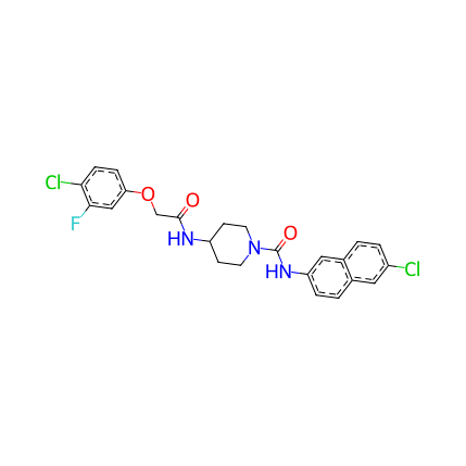 O=C(COc1ccc(Cl)c(F)c1)NC1CCN(C(=O)Nc2ccc3cc(Cl)ccc3c2)CC1